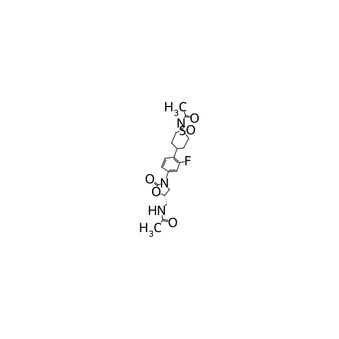 CC(=O)N=S1(=O)CCC(c2ccc(N3C[C@H](CNC(C)=O)OC3=O)cc2F)CC1